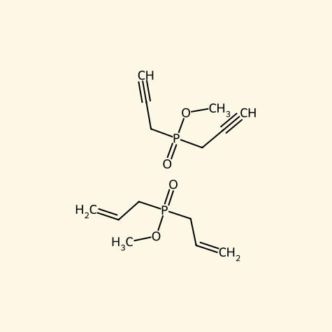 C#CCP(=O)(CC#C)OC.C=CCP(=O)(CC=C)OC